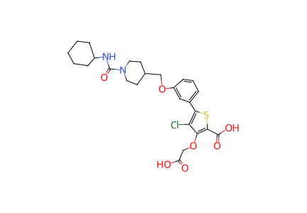 O=C(O)COc1c(C(=O)O)sc(-c2cccc(OCC3CCN(C(=O)NC4CCCCC4)CC3)c2)c1Cl